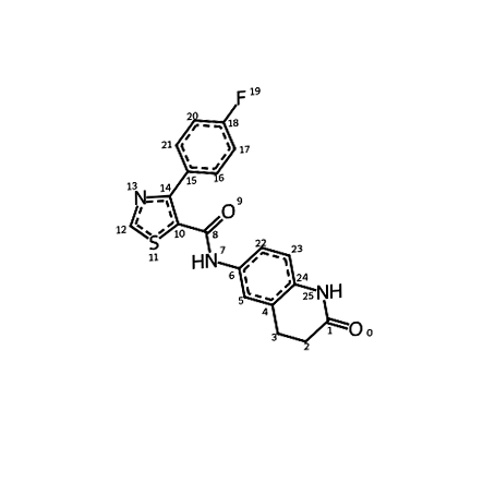 O=C1CCc2cc(NC(=O)c3scnc3-c3ccc(F)cc3)ccc2N1